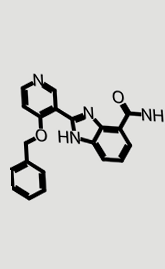 NC(=O)c1cccc2[nH]c(-c3cnccc3OCc3ccccc3)nc12